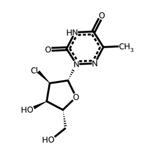 Cc1nn([C@@H]2O[C@H](CO)[C@@H](O)[C@H]2Cl)c(=O)[nH]c1=O